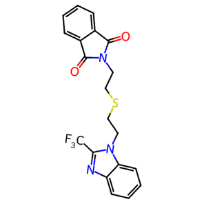 O=C1c2ccccc2C(=O)N1CCSCCn1c(C(F)(F)F)nc2ccccc21